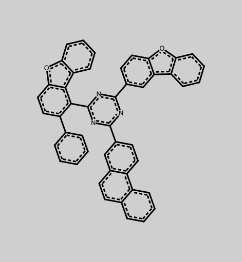 c1ccc(-c2ccc3oc4ccccc4c3c2-c2nc(-c3ccc4c(ccc5ccccc54)c3)nc(-c3ccc4oc5ccccc5c4c3)n2)cc1